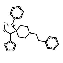 COC(c1cccs1)C1(Nc2ccccc2)CCN(CCc2ccccc2)CC1